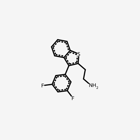 NCCc1sc2ccccc2c1-c1cc(F)cc(F)c1